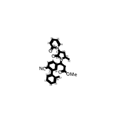 COC(=O)CC(c1ccc(C#N)c(-c2ccccc2C)c1)N1C(=O)C(n2ccccc2=O)CC1C